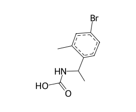 Cc1cc(Br)ccc1C(C)NC(=O)O